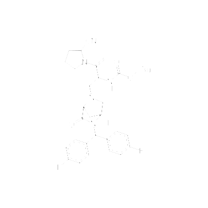 C=C(C(CN1C[C@@H]2CC1C(=O)N2C(c1ccc(F)cc1)c1ccc(F)cc1)NC(=O)OC(C)(C)C)N1CCCC1C#N